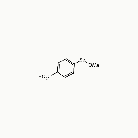 CO[Se]c1ccc(C(=O)O)cc1